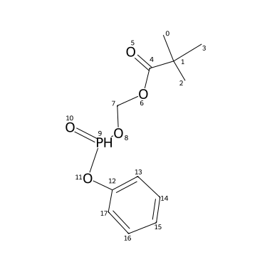 CC(C)(C)C(=O)OCO[PH](=O)Oc1ccccc1